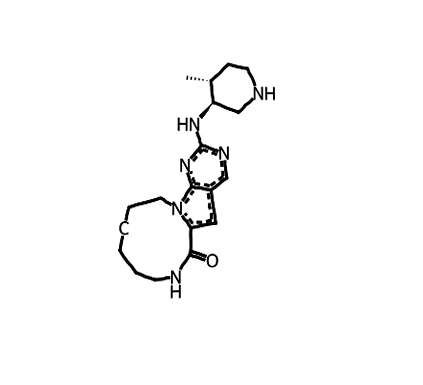 C[C@@H]1CCNC[C@H]1Nc1ncc2cc3n(c2n1)CCCCCCNC3=O